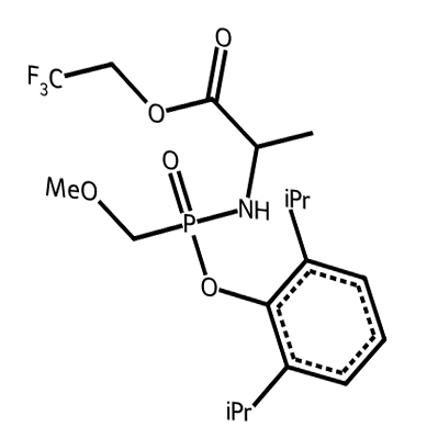 COCP(=O)(NC(C)C(=O)OCC(F)(F)F)Oc1c(C(C)C)cccc1C(C)C